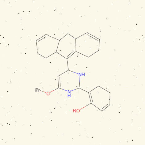 CC(C)OC1=CC(C2=C3CCC=CC3CC3C=CCCC23)NC(C2=C(O)C=CCC2)N1